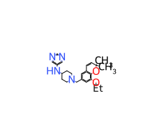 CCOc1cc(CN2CCC(Nc3cncnc3)CC2)cc2c1OC(C)(C)C=C2